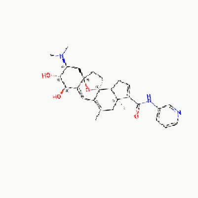 CC1=C2C=C3[C@@H](O)[C@H](O)[C@@H](N(C)C)C[C@]34CC[C@]2(O4)C2CC=C(C(=O)Nc3cccnc3)[C@@]2(C)C1